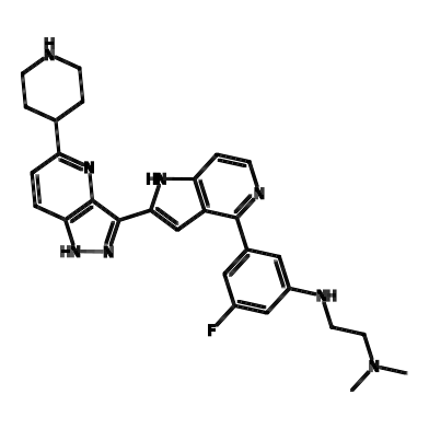 CN(C)CCNc1cc(F)cc(-c2nccc3[nH]c(-c4n[nH]c5ccc(C6CCNCC6)nc45)cc23)c1